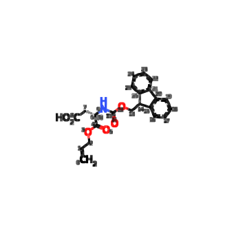 C=CCOC(=O)[C@H](CC(=O)O)NC(=O)OCC1c2ccccc2-c2ccccc21